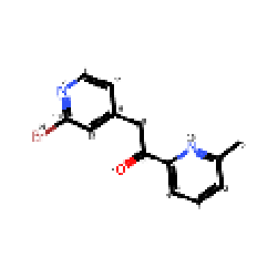 Cc1cccc(C(=O)Cc2ccnc(Br)c2)n1